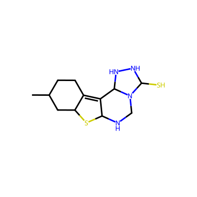 CC1CCC2=C3C(NCN4C(S)NNC34)SC2C1